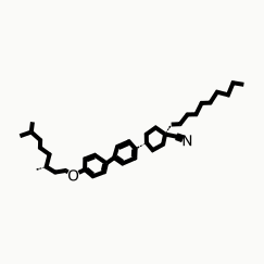 CCCCCCCCCC[C@]1(C#N)CC[C@H](c2ccc(-c3ccc(OCC[C@H](C)CCCC(C)C)cc3)cc2)CC1